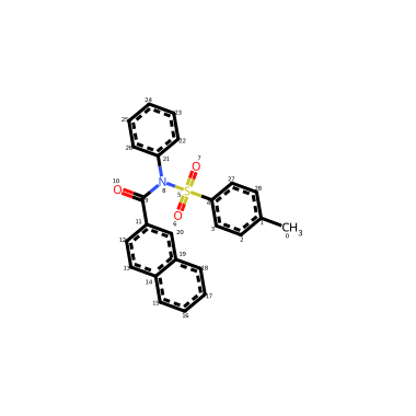 Cc1ccc(S(=O)(=O)N(C(=O)c2ccc3ccccc3c2)c2ccccc2)cc1